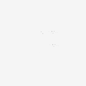 C=C1C=CC=C(N(C)SC)C1SC